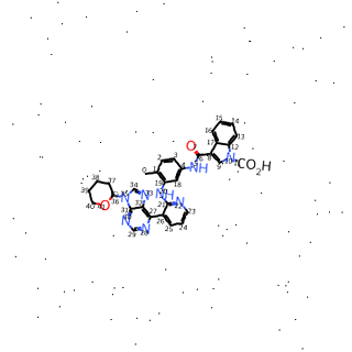 Cc1ccc(NC(=O)c2cn(C(=O)O)c3ccccc23)cc1Nc1ncccc1-c1ncnc2c1ncn2[C@@H]1CCCCO1